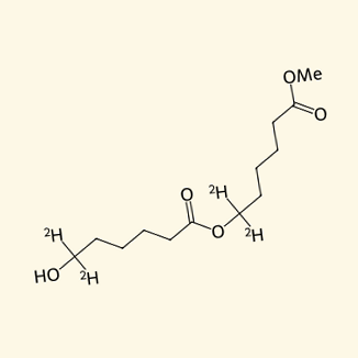 [2H]C([2H])(O)CCCCC(=O)OC([2H])([2H])CCCCC(=O)OC